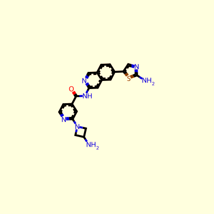 Nc1ncc(-c2ccc3cnc(NC(=O)c4ccnc(N5CC(N)C5)c4)cc3c2)s1